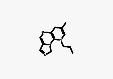 CCCN1C=C(C)CC2=C1N1CN=CC1=CN2